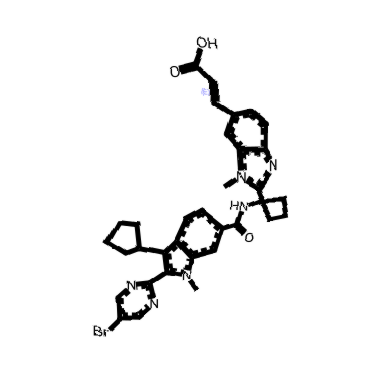 Cn1c(C2(NC(=O)c3ccc4c(C5CCCC5)c(-c5ncc(Br)cn5)n(C)c4c3)CCC2)nc2ccc(/C=C/C(=O)O)cc21